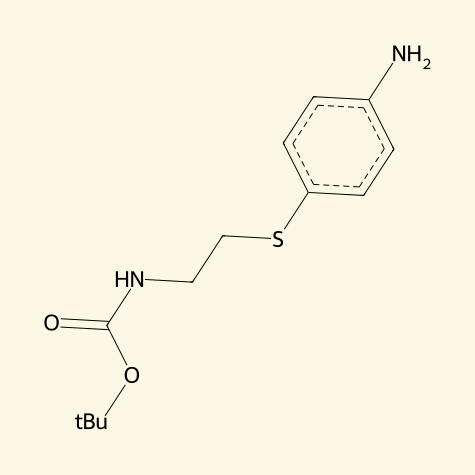 CC(C)(C)OC(=O)NCCSc1ccc(N)cc1